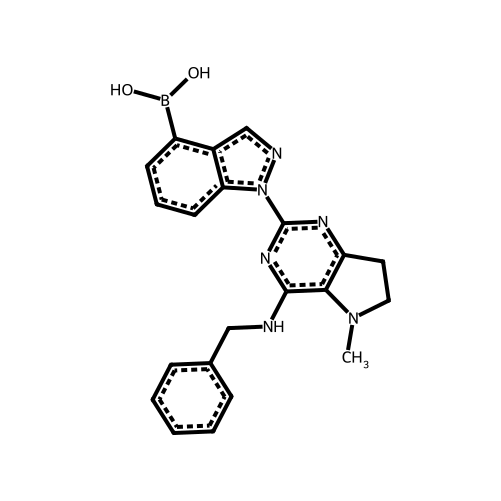 CN1CCc2nc(-n3ncc4c(B(O)O)cccc43)nc(NCc3ccccc3)c21